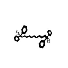 CCC(CCCCCCCCCCC(CC)(c1ccccc1)c1ccccc1)(c1ccccc1)c1ccccc1